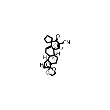 CC12C=C(C#N)C(=O)C3(CCCC3)C1=CCC1[C@@H]2CCC2(C)[C@H]1CCC21OCCO1